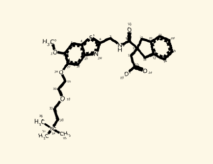 COc1cc2sc(CNC(=O)C3(CC(=O)[O-])Cc4ccccc4C3)nc2cc1OCCOCC[N+](C)(C)C